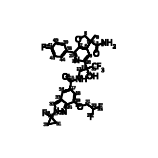 C[C@]1(C(N)=O)COc2c1cc(C(O)(CNC(=O)c1cc(OCC(F)F)c3nn(C4(F)CC4)cc3c1)C(F)(F)F)nc2-c1ccc(F)cc1